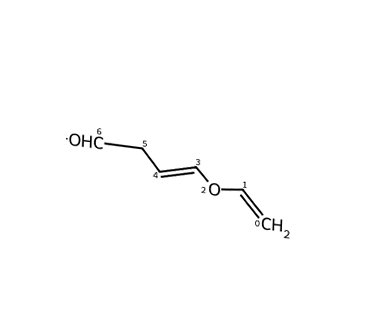 C=COC=CC[C]=O